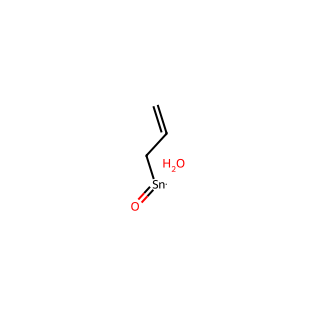 C=C[CH2][Sn]=[O].O